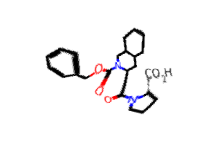 O=C(O)[C@@H]1CCCN1C(=O)C1CC2CCCCC2CN1C(=O)OCc1ccccc1